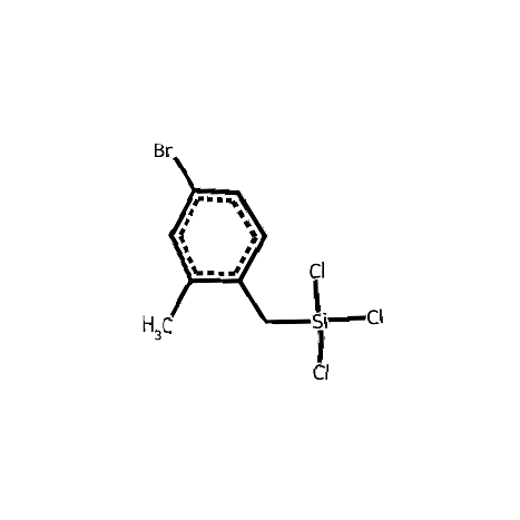 Cc1cc(Br)ccc1C[Si](Cl)(Cl)Cl